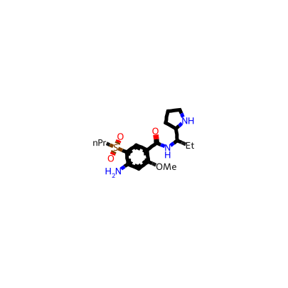 CCCS(=O)(=O)c1cc(C(=O)NC(CC)C2CCCN2)c(OC)cc1N